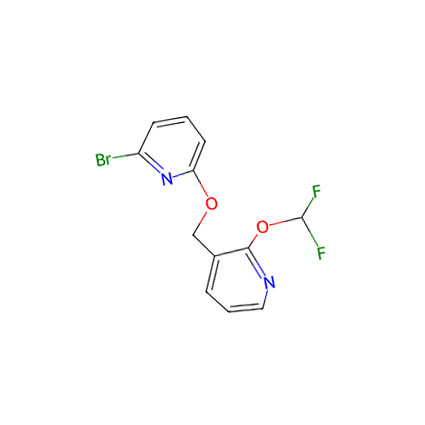 FC(F)Oc1ncccc1COc1cccc(Br)n1